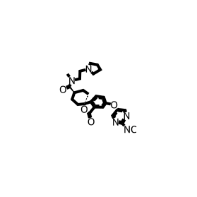 [C-]#[N+]c1ncc(Oc2ccc3c(c2)C(=O)O[C@]32CC[C@H](C(=O)N(C)CCN3CCCC3)CC2)cn1